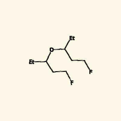 CCC(CCF)OC(CC)CCF